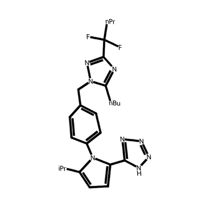 CCCCc1nc(C(F)(F)CCC)nn1Cc1ccc(-n2c(-c3nnn[nH]3)ccc2C(C)C)cc1